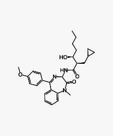 CCCC[C@H](O)[C@@H](CC1CC1)C(=O)NC1N=C(c2ccc(OC)cc2)c2ccccc2N(C)C1=O